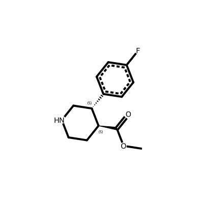 COC(=O)[C@H]1CCNC[C@@H]1c1ccc(F)cc1